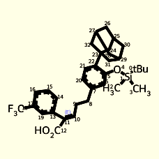 CC(C)(C)[Si](C)(C)Oc1cc(CC/C=C(/C(=O)O)c2cccc(C(F)(F)F)c2)ccc1C12CC3CC(CC(C3)C1)C2